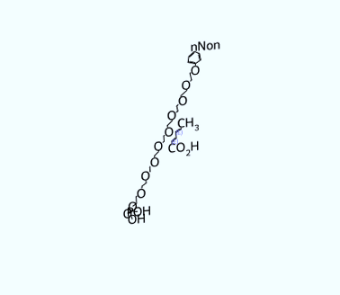 C/C=C/C=C/C(=O)O.CCCCCCCCCc1ccc(OCCOCCOCCOCCOCCOCCOCCOCCOCCOP(=O)(O)O)cc1